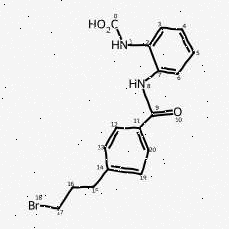 O=C(O)Nc1ccccc1NC(=O)c1ccc(CCCBr)cc1